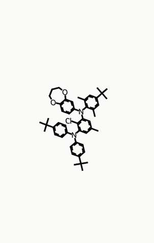 Cc1cc(N(c2ccc(C(C)(C)C)cc2)c2ccc(C(C)(C)C)cc2)c(Cl)c(N(c2ccc3c(c2)OCCCO3)c2c(C)cc(C(C)(C)C)cc2C)c1